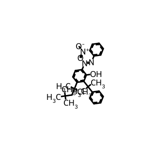 CC(C)(C)CC(C)(C)c1ccc(N=Nc2ccccc2[N+](=O)[O-])c(O)c1C(C)(C)c1ccccc1